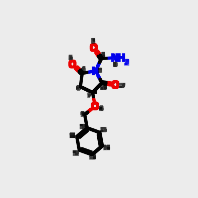 NC(=O)N1C(=O)C[C](OCc2ccccc2)C1=O